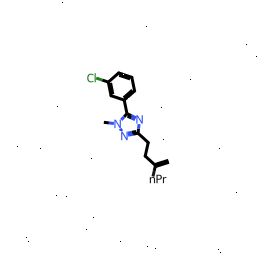 C=C(CCC)CCc1nc(-c2cccc(Cl)c2)n(C)n1